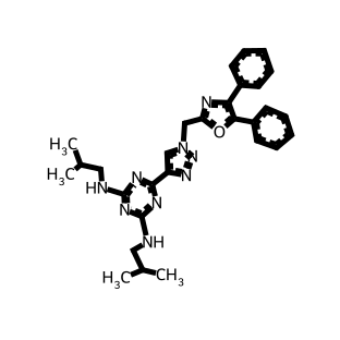 CC(C)CNc1nc(NCC(C)C)nc(-c2cn(Cc3nc(-c4ccccc4)c(-c4ccccc4)o3)nn2)n1